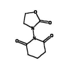 O=C1OCCN1N1C(=O)CCCC1=O